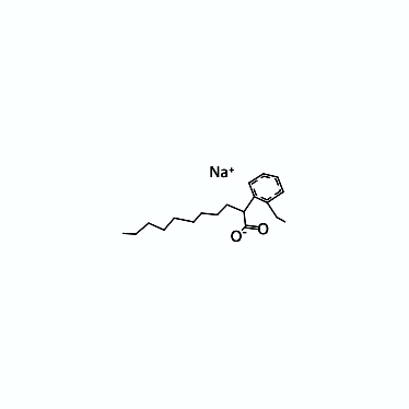 CCCCCCCCCC(C(=O)[O-])c1ccccc1CC.[Na+]